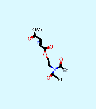 CCC(=O)N(CCOC(=O)/C=C/C(=O)OC)C(=O)CC